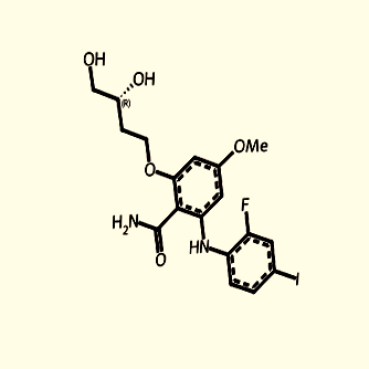 COc1cc(Nc2ccc(I)cc2F)c(C(N)=O)c(OCC[C@@H](O)CO)c1